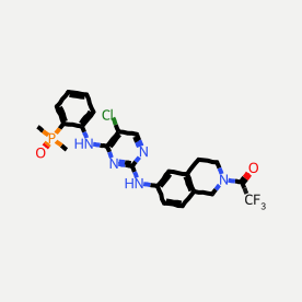 CP(C)(=O)c1ccccc1Nc1nc(Nc2ccc3c(c2)CCN(C(=O)C(F)(F)F)C3)ncc1Cl